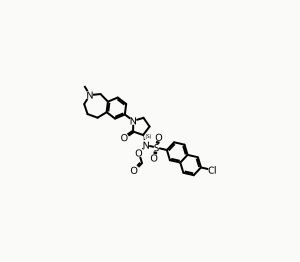 CN1CCCc2cc(N3CC[C@H](N(OC=O)S(=O)(=O)c4ccc5cc(Cl)ccc5c4)C3=O)ccc2C1